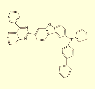 c1ccc(-c2ccc(N(c3ccccc3)c3ccc4oc5cc(-c6nc(-c7ccccc7)c7ccccc7n6)ccc5c4c3)cc2)cc1